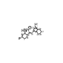 O=C1Nc2cc(F)ccc2C1=Cc1c[nH]c2ccccc12